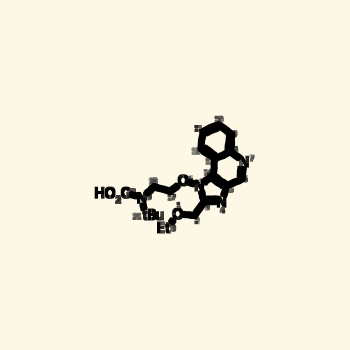 CCOCc1nc2cnc3ccccc3c2n1OCCN(C(=O)O)C(C)(C)C